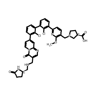 COc1nc(-c2cccc(-c3cccc(-c4ccn5c(=O)c(CNC[C@H]6CCC(=O)N6)cnc5c4)c3Cl)c2Cl)ccc1CN1CC[C@@H](C(=O)O)C1